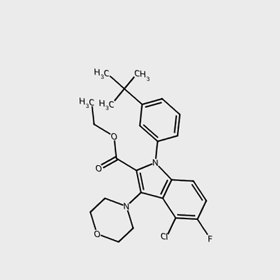 CCOC(=O)c1c(N2CCOCC2)c2c(Cl)c(F)ccc2n1-c1cccc(C(C)(C)C)c1